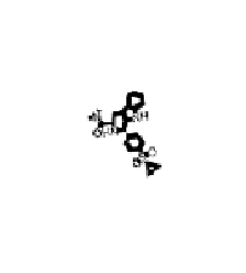 CN(C)C(=O)[C@H]1Cc2c([nH]c3ccccc23)[C@H](c2ccc(S(=O)(=O)C3CC3)cc2)N1